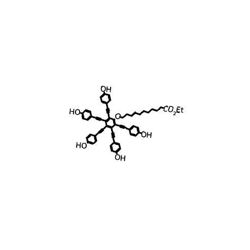 CCOC(=O)CCCCCCCCCCOc1c(C#Cc2ccc(O)cc2)c(C#Cc2ccc(O)cc2)c(C#Cc2ccc(O)cc2)c(C#Cc2ccc(O)cc2)c1C#Cc1ccc(O)cc1